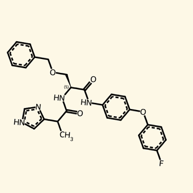 CC(C(=O)N[C@@H](COCc1ccccc1)C(=O)Nc1ccc(Oc2ccc(F)cc2)cc1)c1c[nH]cn1